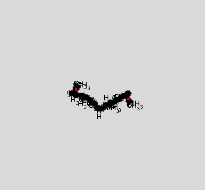 CCCCCCC1(CCCCCC)c2ccccc2-c2ccc(-c3ccc4c(c3)C(C)(C)c3cc(-c5ccc6c(c5)C(C)(C)c5cc(-c7ccc8[nH]c9ccc(-c%10ccc%11c(c%10)C(C)(C)c%10cc(-c%12ccc%13c(c%12)C(C)(C)c%12cc(-c%14ccc%15c(c%14)C(CCCCCC)(CCCCCC)c%14ccccc%14-%15)ccc%12-%13)ccc%10-%11)cc9c8c7)ccc5-6)ccc3-4)cc21